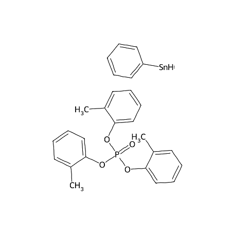 Cc1ccccc1OP(=O)(Oc1ccccc1C)Oc1ccccc1C.[SnH][c]1ccccc1